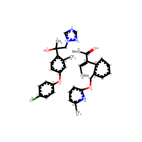 CC(O)(Cn1cncn1)c1ccc(Oc2ccc(Cl)cc2)cc1C(F)(F)F.CO/C=C(/C(=O)OC)c1ccccc1COc1cccc(C(F)(F)F)n1